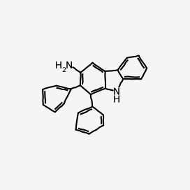 Nc1cc2c([nH]c3ccccc32)c(-c2ccccc2)c1-c1ccccc1